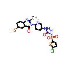 Cc1nc2ccc(S)cc2c(=O)n1-c1ccc(NC(=O)NS(=O)(=O)c2ccc(Cl)s2)cn1